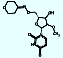 COC1C(O)[C@@H](CON=C2CCOCC2)O[C@H]1n1ccc(=O)[nH]c1=O